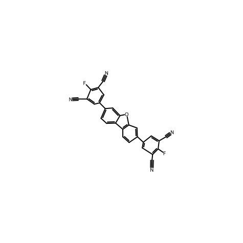 N#Cc1cc(-c2ccc3c(c2)oc2cc(-c4cc(C#N)c(F)c(C#N)c4)ccc23)cc(C#N)c1F